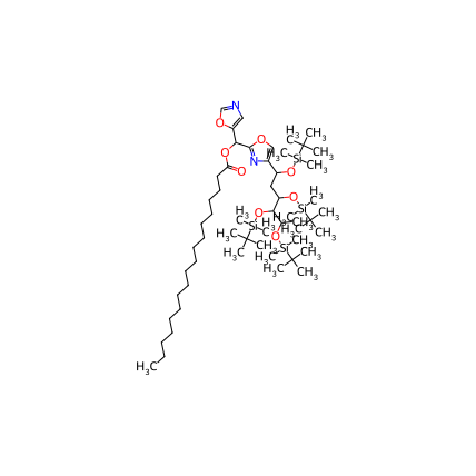 CCCCCCCCCCCCCCCCCC(=O)OC(c1cnco1)c1nc(C(CC(O[Si](C)(C)C(C)(C)C)C(O[Si](C)(C)C(C)(C)C)C(C)O[Si](C)(C)C(C)(C)C)O[Si](C)(C)C(C)(C)C)co1